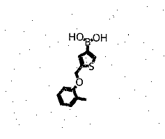 Cc1ccccc1OCc1cc(B(O)O)cs1